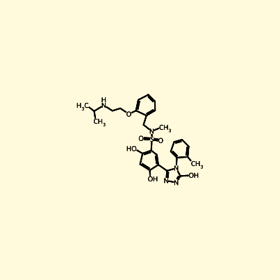 Cc1ccccc1-n1c(O)nnc1-c1cc(S(=O)(=O)N(C)Cc2ccccc2OCCNC(C)C)c(O)cc1O